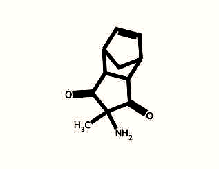 CC1(N)C(=O)C2C3C=CC(C3)C2C1=O